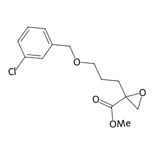 COC(=O)C1(CCCOCc2cccc(Cl)c2)CO1